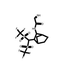 N=CC(=O)NC1C2CCC(C2)C1C(S(=O)(=O)C(F)(F)F)S(=O)(=O)C(F)(F)F